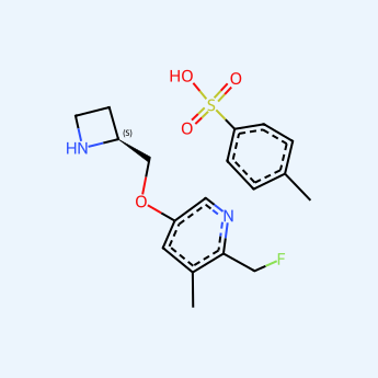 Cc1cc(OC[C@@H]2CCN2)cnc1CF.Cc1ccc(S(=O)(=O)O)cc1